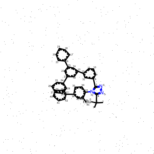 CCCCC(C)(C)c1nnc(-c2cccc(-c3cc(-c4ccccc4)cc(-c4ccccc4)c3)c2)n1-c1ccc(-c2ccccc2)cc1C